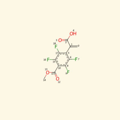 C=C(C(=O)O)c1c(F)c(F)c(C(=O)OC)c(F)c1F